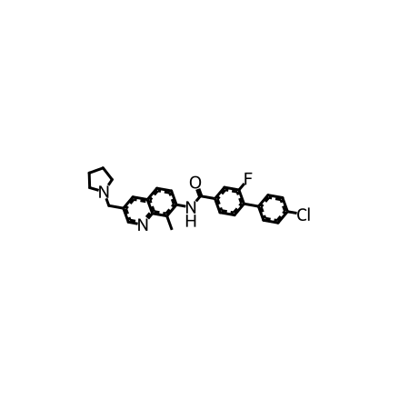 Cc1c(NC(=O)c2ccc(-c3ccc(Cl)cc3)c(F)c2)ccc2cc(CN3CCCC3)cnc12